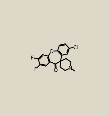 CN1CCC2(CC1)C(=O)c1cc(F)c(F)cc1Oc1ccc(Cl)cc12